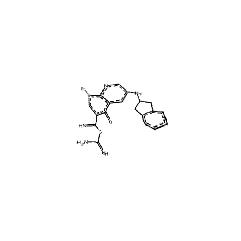 CCn1cc(C(=N)OC(=N)N)c(=O)c2cc(NC3Cc4ccccc4C3)cnc21